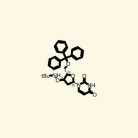 CC(C)(C)[SiH2]OC1C[C@@H](n2ccc(=O)[nH]c2=O)O[C@H]1COC(c1ccccc1)(c1ccccc1)c1ccccc1